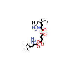 CC(C)CC(N)C(=O)OC(=O)CCC(=O)OC(=O)C(N)CC(C)C